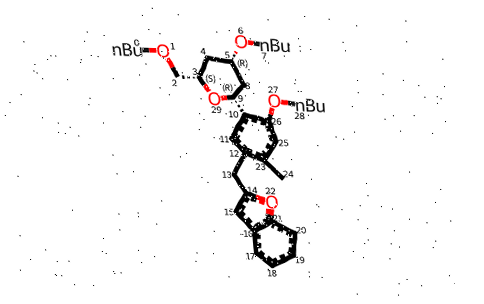 CCCCOC[C@@H]1C[C@H](OCCCC)C[C@H](c2cc(Cc3cc4ccccc4o3)c(C)cc2OCCCC)O1